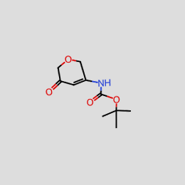 CC(C)(C)OC(=O)NC1=CC(=O)COC1